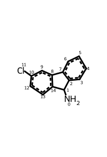 NC1c2ccccc2-c2cc(Cl)ccc21